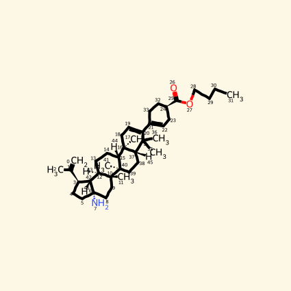 C=C(C)[C@@H]1CC[C@]2(N)CC[C@]3(C)[C@H](CC[C@@H]4[C@@]5(C)CC=C(C6=CC[C@H](C(=O)OCCCC)CC6)C(C)(C)[C@@H]5CC[C@]43C)[C@@H]12